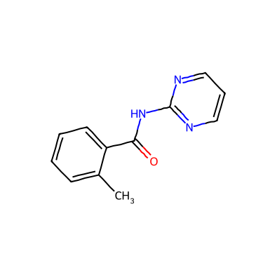 Cc1ccccc1C(=O)Nc1ncccn1